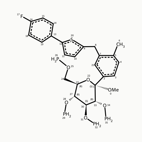 CO[C@@]1(c2ccc(C)c(Cc3ccc(-c4ccc(F)cc4)s3)c2)O[C@H](COP)[C@@H](OP)[C@H](OP)[C@H]1OP